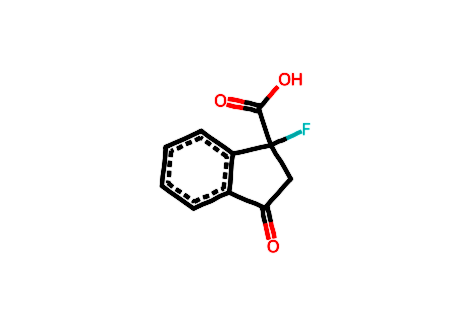 O=C1CC(F)(C(=O)O)c2ccccc21